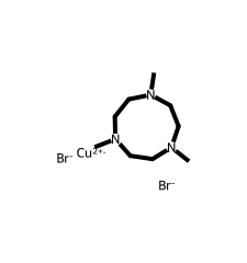 CN1CCN(C)CCN(C)CC1.[Br-].[Br-].[Cu+2]